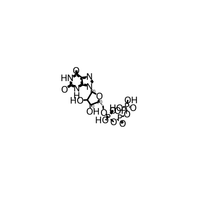 O=c1[nH]c(=O)c2ncn([C@@H]3O[C@H](COP(=O)(O)OP(=O)(O)OP(=O)(O)O)[C@H](O)C3O)c2[nH]1